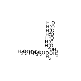 O.O.O.O.O.O.O.O.O.O.O.O.O.O.O.O